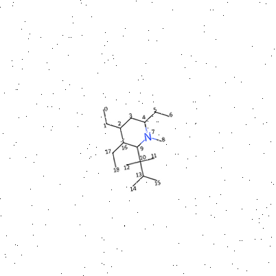 CCC1CC(CC)N(C)C(C(C)(C)C(C)C)C1CC